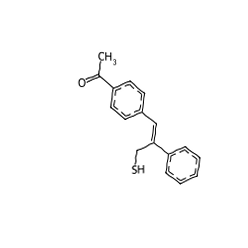 CC(=O)c1ccc(C=C(CS)c2ccccc2)cc1